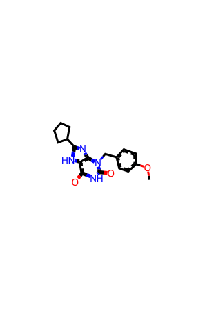 COc1ccc(Cn2c(=O)[nH]c(=O)c3[nH]c(C4CCCC4)nc32)cc1